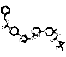 CC1(NC(=O)[C@@H]2CC2(F)F)CCN(c2ccnc(Nc3cnn(C4CCN(C(=O)OCc5ccccc5)CC4)c3)n2)CC1